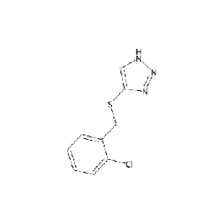 Clc1ccccc1CSc1c[nH]nn1